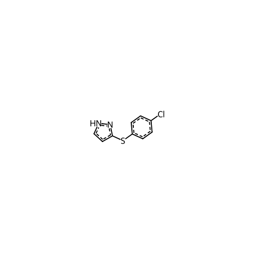 Clc1ccc(Sc2cc[nH]n2)cc1